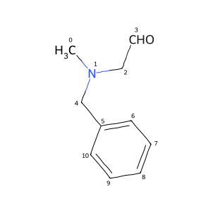 CN(CC=O)Cc1ccccc1